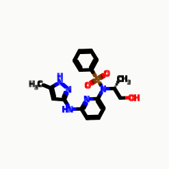 Cc1cc(Nc2cccc(N([C@H](C)CO)S(=O)(=O)c3ccccc3)n2)n[nH]1